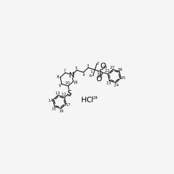 CC(C)(CCCN1CCCC(Sc2ccccc2)C1)S(=O)(=O)c1ccccc1.Cl